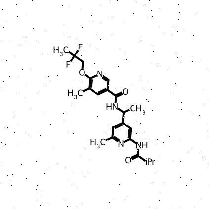 Cc1cc(C(C)NC(=O)c2cnc(OCC(C)(F)F)c(C)c2)cc(NC(=O)C(C)C)n1